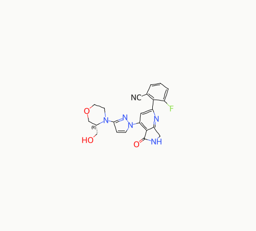 N#Cc1cccc(F)c1-c1cc(-n2ccc(N3CCOC[C@H]3CO)n2)c2c(n1)CNC2=O